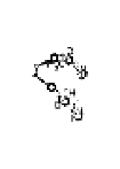 Cc1cc(OCc2ncccn2)cc(=O)n1CCc1ccc(C#CC2CC2C2CC2C#Cc2ccc(Cn3c(C)cc(OCc4ncccn4)cc3=O)cc2)cc1